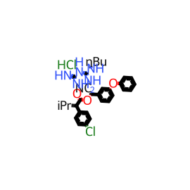 CC(C)C(C(=O)OC(C#N)c1cccc(Oc2ccccc2)c1)c1ccc(Cl)cc1.CCCCNC(=N)NC(=N)N.Cl